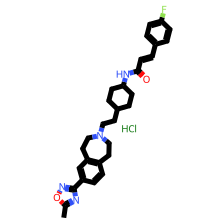 Cc1nc(-c2ccc3c(c2)CCN(CCC2CCC(NC(=O)C=Cc4ccc(F)cc4)CC2)CC3)no1.Cl